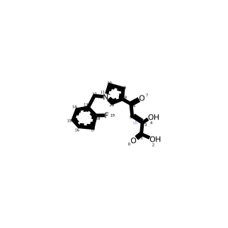 O=C(O)/C(O)=C/C(=O)c1ccn(Cc2ccccc2F)c1